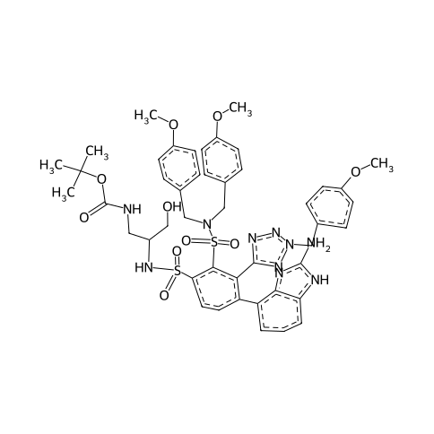 COc1ccc(CN(Cc2ccc(OC)cc2)S(=O)(=O)c2c(S(=O)(=O)NC(CO)CNC(=O)OC(C)(C)C)ccc(-c3cccc4[nH]c(N)nc34)c2-c2nnn(Cc3ccc(OC)cc3)n2)cc1